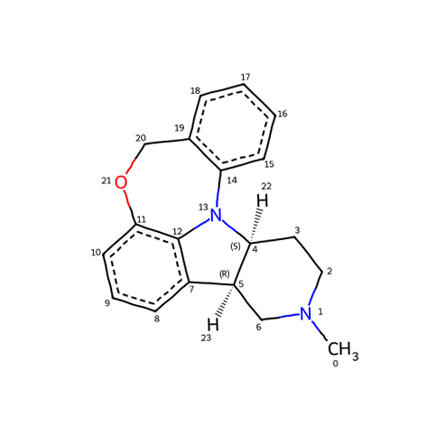 CN1CC[C@H]2[C@@H](C1)c1cccc3c1N2c1ccccc1CO3